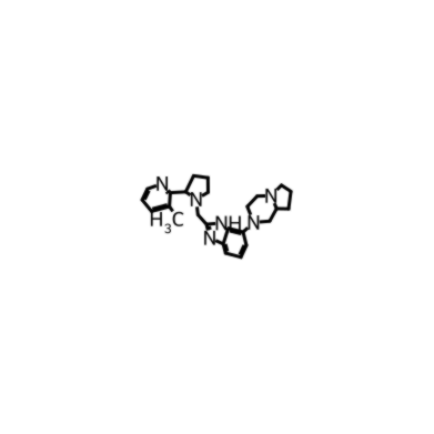 Cc1cccnc1C1CCCN1Cc1nc2cccc(N3CCN4CCCC4C3)c2[nH]1